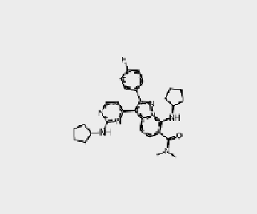 CN(C)C(=O)c1ccc2c(-c3ccnc(NC4CCCC4)n3)c(-c3ccc(F)cc3)nn2c1NC1CCCC1